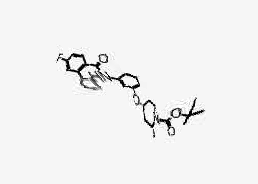 C[C@H]1C[C@H](Oc2cccc(NC(=O)c3ccc(F)cc3Cl)c2)CCN1C(=O)OC(C)(C)C